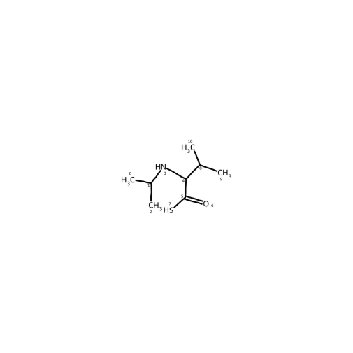 CC(C)NC(C(=O)S)C(C)C